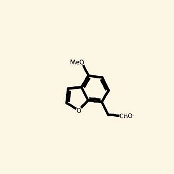 COc1ccc(C[C]=O)c2occc12